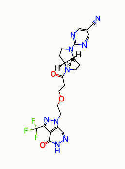 N#Cc1cnc(N2CC[C@@H]3[C@H]2CCN3C(=O)CCOCCn2nc(C(F)(F)F)c3c(=O)[nH]ncc32)nc1